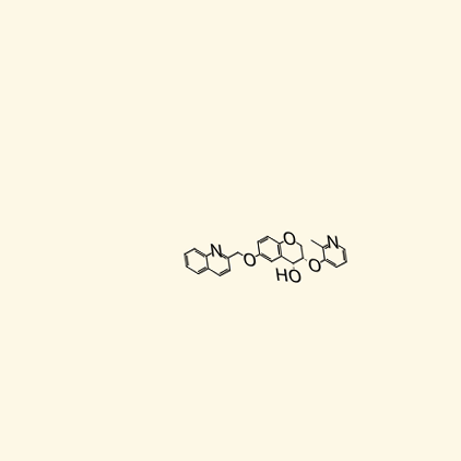 Cc1ncccc1O[C@H]1COc2ccc(OCc3ccc4ccccc4n3)cc2[C@H]1O